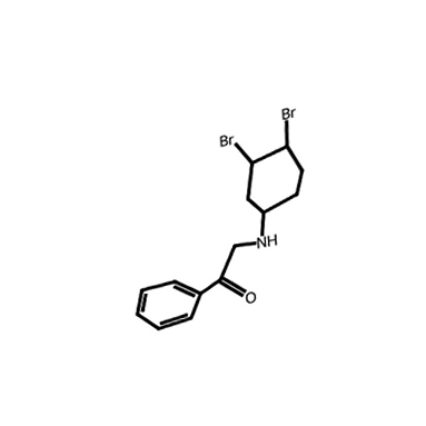 O=C(CNC1CCC(Br)C(Br)C1)c1ccccc1